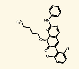 NCCCCOn1c(=O)c(-c2c(Cl)cccc2Cl)cc2cnc(Nc3ccccc3)nc21